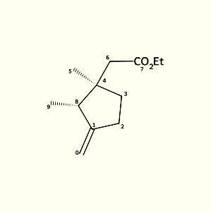 C=C1CC[C@](C)(CC(=O)OCC)[C@H]1C